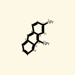 CCCc1ccc2cc3ccccc3c(CCC)c2c1